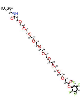 O=C(CCOCCOCCOCCOCCOCCOCCOCCOCCOCCOCCC(=O)Oc1c(F)c(F)cc(F)c1F)NCCS(=O)(=O)O